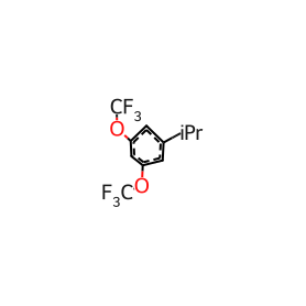 CC(C)c1cc(OC(F)(F)F)cc(OC(F)(F)F)c1